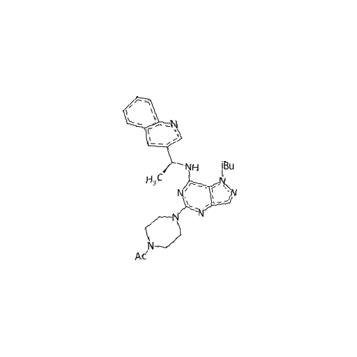 CCC(C)n1ncc2nc(N3CCN(C(C)=O)CC3)nc(N[C@@H](C)c3cnc4ccccc4c3)c21